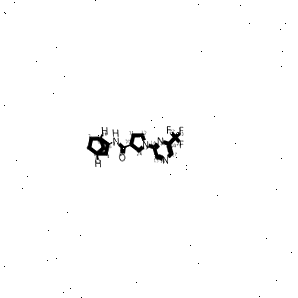 O=C(N[C@@H]1C[C@@H]2CC[C@H]1C2)[C@H]1CCN(c2cncc(C(F)(F)F)n2)C1